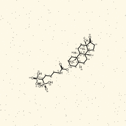 C[C@]12CC[C@@H](OC(=O)NCCCC(P(=O)(O)O)P(=O)(O)O)C[C@@H]1CC[C@@H]1[C@@H]2CC[C@]2(C)C(=O)CC[C@@H]12